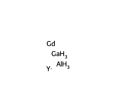 [AlH3].[GaH3].[Gd].[Y]